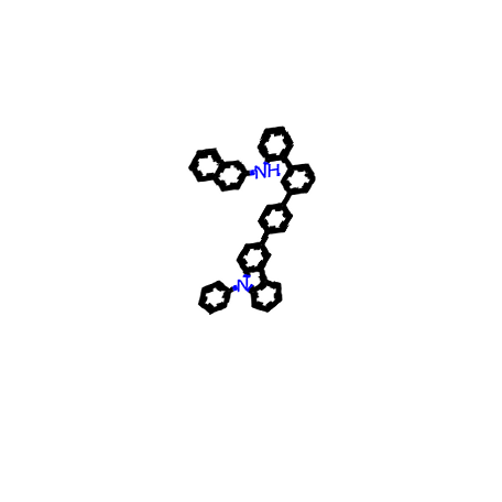 c1ccc(-n2c3ccccc3c3cc(-c4ccc(-c5cccc(-c6ccccc6Nc6ccc7ccccc7c6)c5)cc4)ccc32)cc1